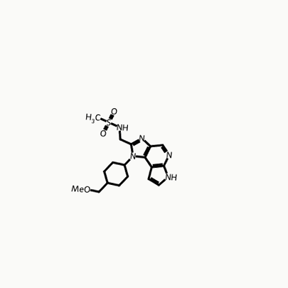 COCC1CCC(n2c(CNS(C)(=O)=O)nc3cnc4[nH]ccc4c32)CC1